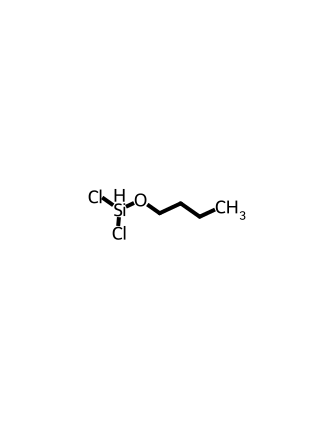 CCCCO[SiH](Cl)Cl